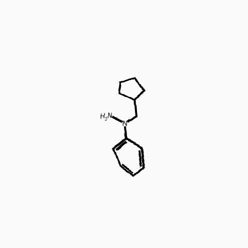 NN(CC1CCCC1)c1ccccc1